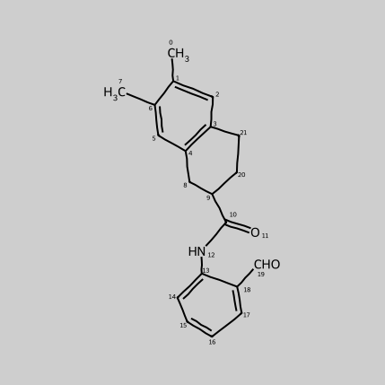 Cc1cc2c(cc1C)CC(C(=O)Nc1ccccc1C=O)CC2